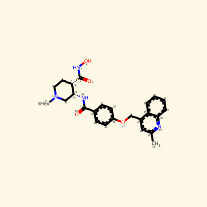 CCCCCCN1CC[C@H](C(=O)NO)[C@H](NC(=O)c2ccc(OCc3cc(C)nc4ccccc34)cc2)C1